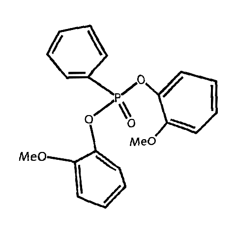 COc1ccccc1OP(=O)(Oc1ccccc1OC)c1ccccc1